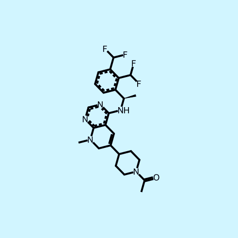 CC(=O)N1CCC(C2=Cc3c(N[C@H](C)c4cccc(C(F)F)c4C(F)F)ncnc3N(C)C2)CC1